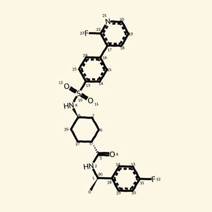 C[C@@H](NC(=O)[C@H]1CC[C@H](NS(=O)(=O)c2ccc(-c3cccnc3F)cc2)CC1)c1ccc(F)cc1